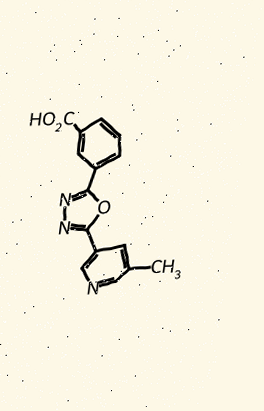 Cc1cncc(-c2nnc(-c3cccc(C(=O)O)c3)o2)c1